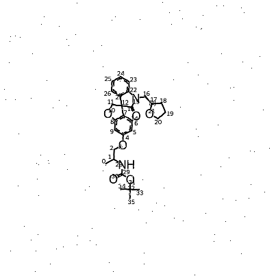 CC(COc1ccc2c(c1)OCC21C(=O)N(C[C@H]2CCCO2)c2ccccc21)NC(=O)OC(C)(C)C